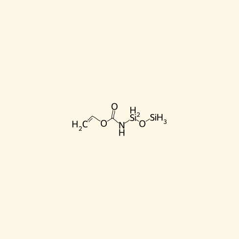 C=COC(=O)N[SiH2]O[SiH3]